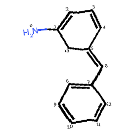 NC1=CC=CC(=Cc2ccccc2)C1